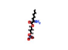 CCCCCC(N)C(=O)OCCCCO[N+](=O)[O-]